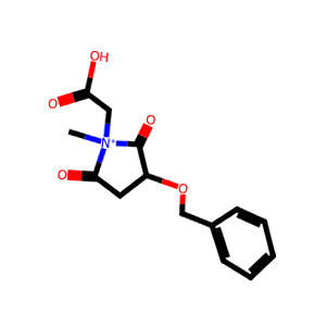 C[N+]1(CC(=O)O)C(=O)CC(OCc2ccccc2)C1=O